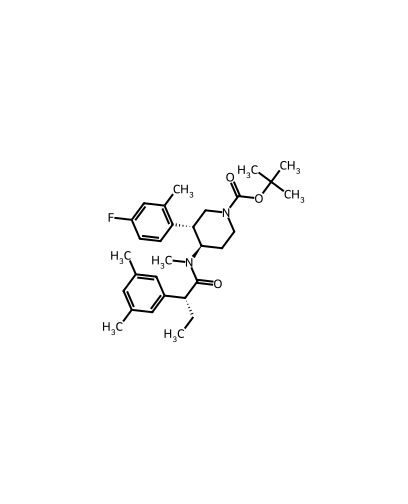 CC[C@@H](C(=O)N(C)[C@@H]1CCN(C(=O)OC(C)(C)C)C[C@H]1c1ccc(F)cc1C)c1cc(C)cc(C)c1